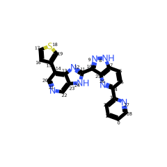 c1ccc(-c2ccc3[nH]nc(-c4nc5c(-c6ccsc6)cncc5[nH]4)c3n2)nc1